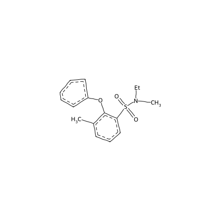 CCN(C)S(=O)(=O)c1cccc(C)c1Oc1ccccc1